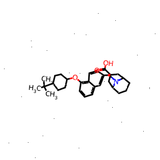 CC(C)(C)C1CCC(Oc2cccc3cc(CN4C5CCCC4CC(C(=O)O)C5)ccc23)CC1